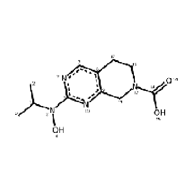 CC(C)N(O)c1ncc2c(n1)CN(C(=O)O)CC2